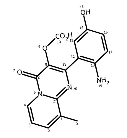 Cc1cccn2c(=O)c(OC(=O)O)c(-c3cc(O)ccc3N)nc12